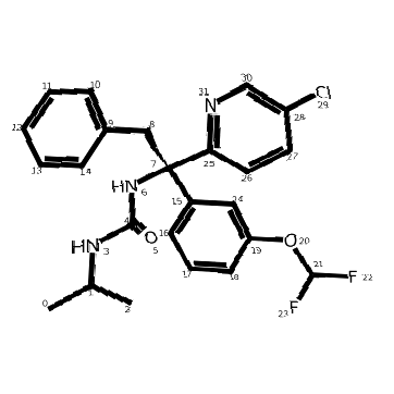 CC(C)NC(=O)N[C@@](Cc1ccccc1)(c1cccc(OC(F)F)c1)c1ccc(Cl)cn1